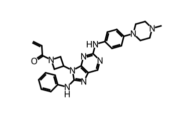 C=CC(=O)N1CC(n2c(Nc3ccccc3)nc3cnc(Nc4ccc(N5CCN(C)CC5)cc4)nc32)C1